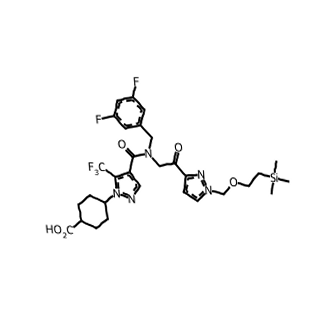 C[Si](C)(C)CCOCn1ccc(C(=O)CN(Cc2cc(F)cc(F)c2)C(=O)c2cnn(C3CCC(C(=O)O)CC3)c2C(F)(F)F)n1